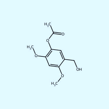 COc1cc(OC)c(OC(C)=O)cc1CO